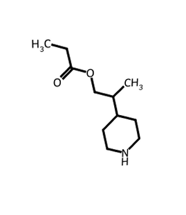 CCC(=O)OCC(C)C1CCNCC1